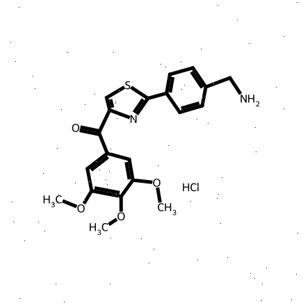 COc1cc(C(=O)c2csc(-c3ccc(CN)cc3)n2)cc(OC)c1OC.Cl